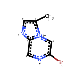 Cc1cnc2cnc(Br)cn12